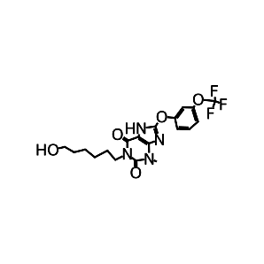 Cn1c(=O)n(CCCCCCO)c(=O)c2[nH]c(Oc3cccc(OC(F)(F)F)c3)nc21